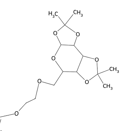 C=COCCOCC1OC2OC(C)(C)OC2C2OC(C)(C)OC12